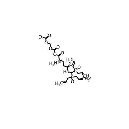 C=CCP(=O)(CC=C)C(NC(=O)CC[C@H](N)C(=O)OC(=O)OCOC(=O)CC)P(=O)(CC=C)CC=C